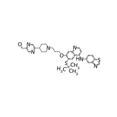 CC(C)(C)Sc1cc2c(Nc3ccc4scnc4c3)ccnc2cc1OCCCN1CCC(c2cnc(C=O)cn2)CC1